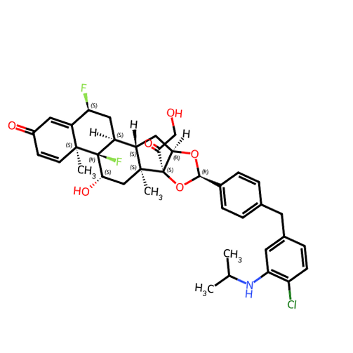 CC(C)Nc1cc(Cc2ccc([C@@H]3O[C@@H]4C[C@H]5[C@@H]6C[C@H](F)C7=CC(=O)C=C[C@]7(C)[C@@]6(F)[C@@H](O)C[C@]5(C)[C@]4(C(=O)CO)O3)cc2)ccc1Cl